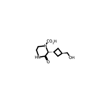 O=C1NCCN(C(=O)O)C1[C@H]1C[C@H](CO)C1